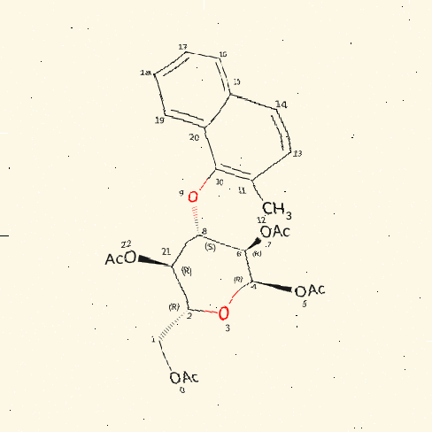 CC(=O)OC[C@H]1O[C@H](OC(C)=O)[C@H](OC(C)=O)[C@@H](Oc2c(C)ccc3ccccc23)[C@@H]1OC(C)=O